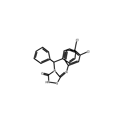 O=c1[nH]s/c(=N/c2ccc(Cl)c(Cl)c2)n1C(c1ccccc1)c1ccccc1